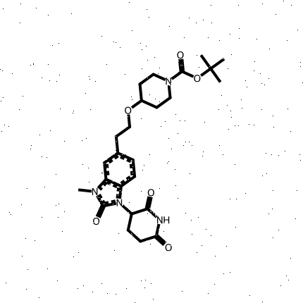 Cn1c(=O)n(C2CCC(=O)NC2=O)c2ccc(CCOC3CCN(C(=O)OC(C)(C)C)CC3)cc21